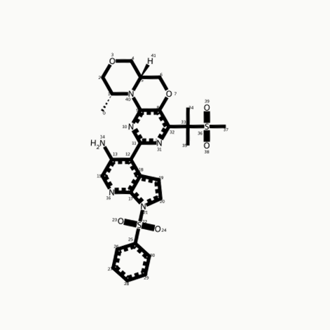 C[C@@H]1COC[C@@H]2COc3c(nc(-c4c(N)cnc5c4ccn5S(=O)(=O)c4ccccc4)nc3C(C)(C)S(C)(=O)=O)N21